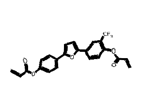 C=CC(=O)Oc1ccc(-c2ccc(-c3ccc(OC(=O)C=C)c(C(F)(F)F)c3)o2)cc1